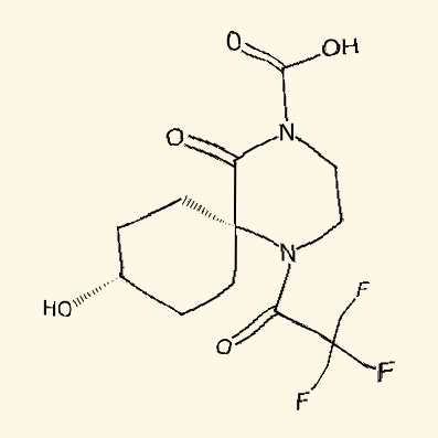 O=C(O)N1CCN(C(=O)C(F)(F)F)[C@]2(CC[C@@H](O)CC2)C1=O